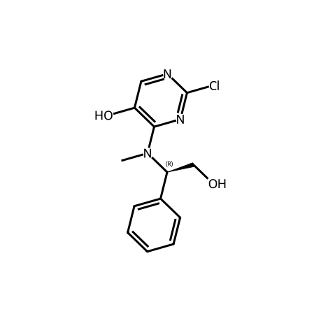 CN(c1nc(Cl)ncc1O)[C@@H](CO)c1ccccc1